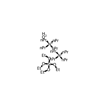 CCC[N+](CCC)(CCC)CCC.CCC[N+](CCC)(CCC)CCC.CCO[Si](OCC)(OCC)OCC.O